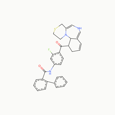 O=C(Nc1ccc(C(=O)C2CC=CC3=CNC=C4CSCCN4C32)c(F)c1)c1ccccc1-c1ccccc1